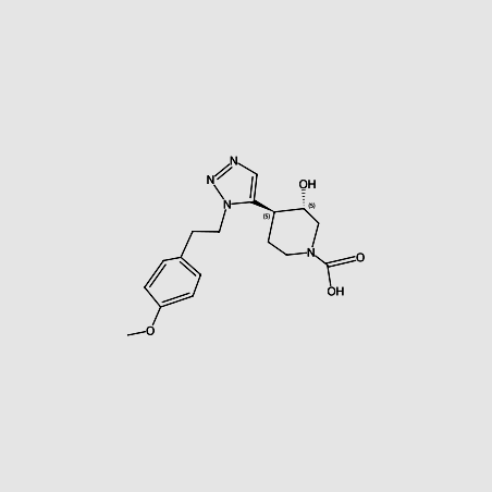 COc1ccc(CCn2nncc2[C@@H]2CCN(C(=O)O)C[C@H]2O)cc1